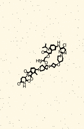 CNC(=O)COc1cc2cc(Nc3nc(N4CCC(OC5CC(N6CC7(CCN(c8ccc9c(c8C)C(=O)N([C@@H]8CCC(=O)NC8=O)C9=O)CC7)C6)C5)CC4)ncc3Cl)ccc2n(C(C)C)c1=O